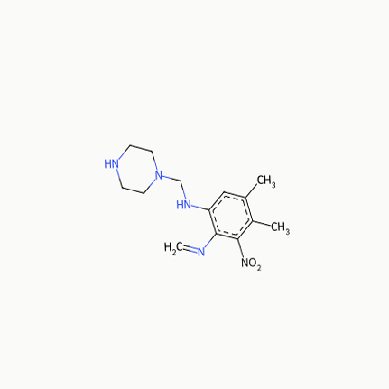 C=Nc1c(NCN2CCNCC2)cc(C)c(C)c1[N+](=O)[O-]